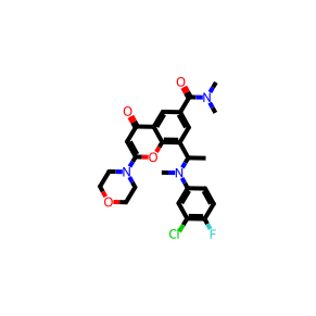 CC(c1cc(C(=O)N(C)C)cc2c(=O)cc(N3CCOCC3)oc12)N(C)c1ccc(F)c(Cl)c1